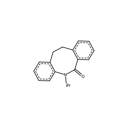 CC(C)N1C(=O)c2ccccc2CCc2ccccc21